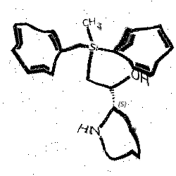 C[Si](CC(O)[C@@H]1CCCN1)(c1ccccc1)c1ccccc1